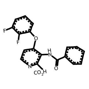 O=C(Nc1c(Oc2cccc(F)c2F)ccnc1C(=O)O)c1ccccc1